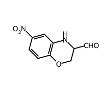 O=CC1COc2ccc([N+](=O)[O-])cc2N1